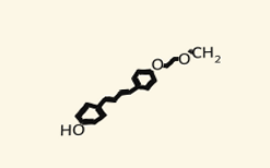 C=COCCOc1ccc(C=CC=Cc2ccc(O)cc2)cc1